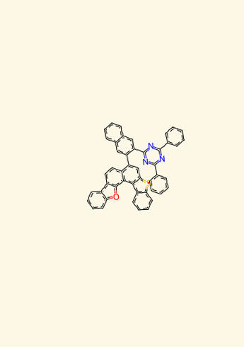 c1ccc(-c2nc(-c3ccccc3)nc(-c3cc4ccccc4cc3-c3cc4sc5ccccc5c4c4c3ccc3c5ccccc5oc34)n2)cc1